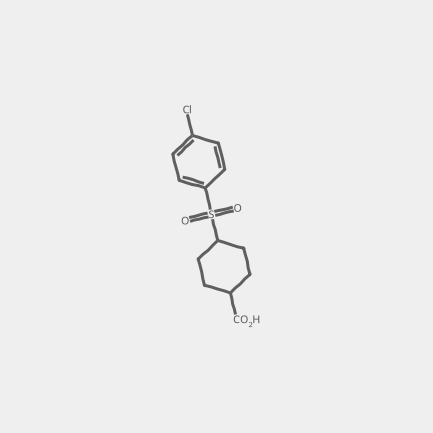 O=C(O)C1CCC(S(=O)(=O)c2ccc(Cl)cc2)CC1